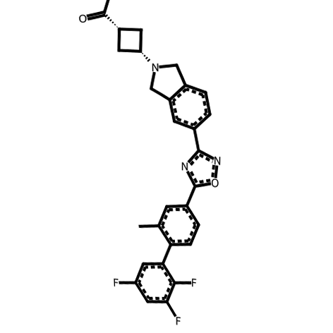 Cc1cc(-c2nc(-c3ccc4c(c3)CN([C@H]3C[C@@H](C(=O)O)C3)C4)no2)ccc1-c1cc(F)cc(F)c1F